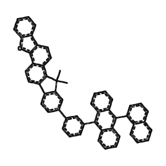 CC1(C)c2cc(-c3cccc(-c4c5ccccc5c(-c5cccc6ccccc56)c5ccccc45)c3)ccc2-c2ccc3c(ccc4c5ccccc5oc34)c21